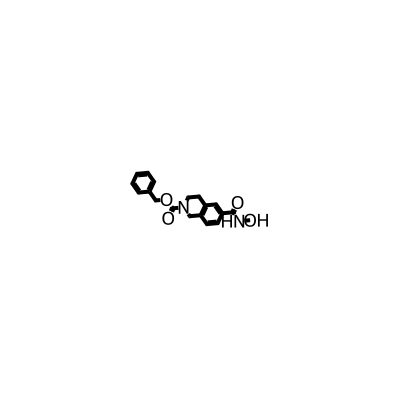 O=C(NO)c1ccc2c(c1)CCN(C(=O)OCc1ccccc1)C2